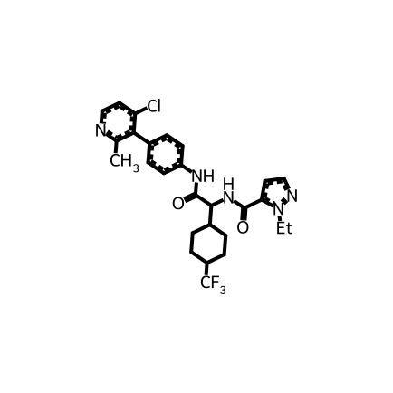 CCn1nccc1C(=O)NC(C(=O)Nc1ccc(-c2c(Cl)ccnc2C)cc1)C1CCC(C(F)(F)F)CC1